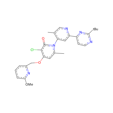 COc1cccc(COc2cc(C)n(-c3cc(-c4ccnc(C(C)(C)C)n4)ncc3C)c(=O)c2Cl)n1